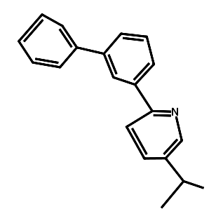 CC(C)c1ccc(-c2cccc(-c3ccccc3)c2)nc1